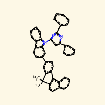 CC1(C)c2cc(-c3ccc4c5ccccc5n(-c5cc(-c6ccccc6)nc(-c6ccccc6)n5)c4c3)ccc2-c2c1ccc1ccccc21